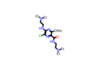 CCN(CC)CCNC(=O)c1nc(Cl)c(NCCN(CC)CC)nc1OC